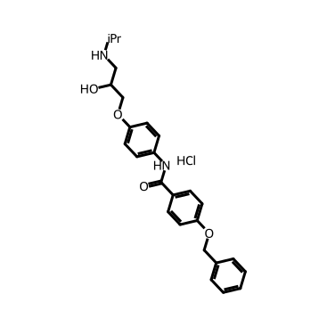 CC(C)NCC(O)COc1ccc(NC(=O)c2ccc(OCc3ccccc3)cc2)cc1.Cl